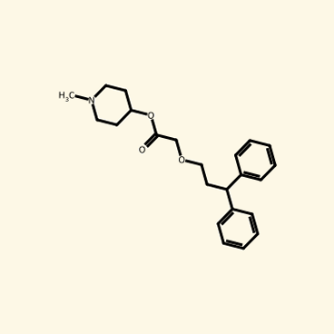 CN1CCC(OC(=O)COCCC(c2ccccc2)c2ccccc2)CC1